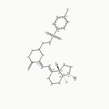 C=C1CCC(COS(=O)(=O)c2ccc(C)cc2)C/C1=C\C=C1CCC[C@]2(C)[C@@H](CC)CC[C@@H]12